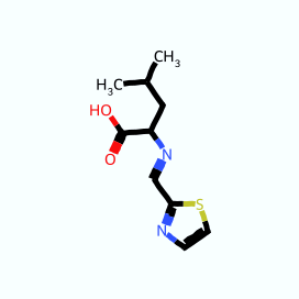 CC(C)CC(/N=C/c1nccs1)C(=O)O